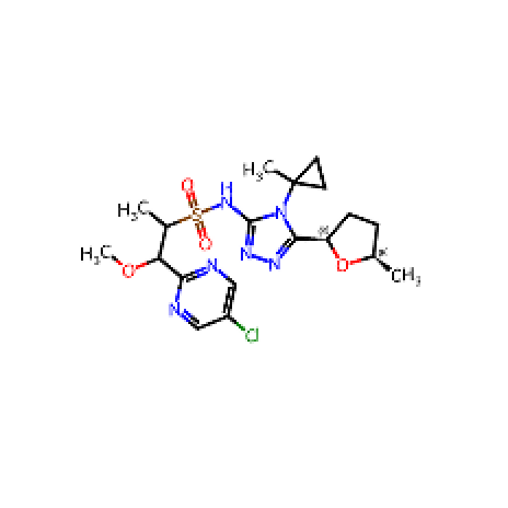 COC(c1ncc(Cl)cn1)C(C)S(=O)(=O)Nc1nnc([C@H]2CC[C@@H](C)O2)n1C1(C)CC1